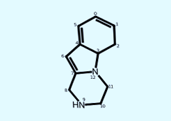 C1=CCC2C(=C1)C=C1CNCCN12